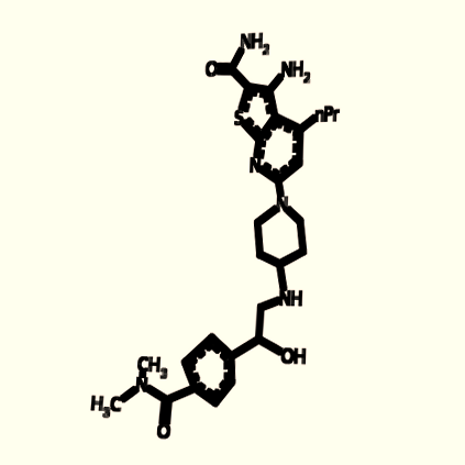 CCCc1cc(N2CCC(NCC(O)c3ccc(C(=O)N(C)C)cc3)CC2)nc2sc(C(N)=O)c(N)c12